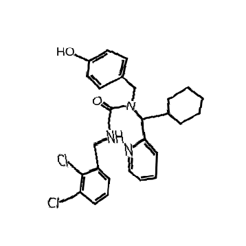 O=C(NCc1cccc(Cl)c1Cl)N(Cc1ccc(O)cc1)C(c1ccccn1)C1CCCCC1